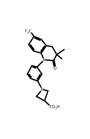 CC1(C)Cc2cc(C(F)(F)F)ccc2N(c2cccc(N3CC(C(=O)O)C3)c2)C1=O